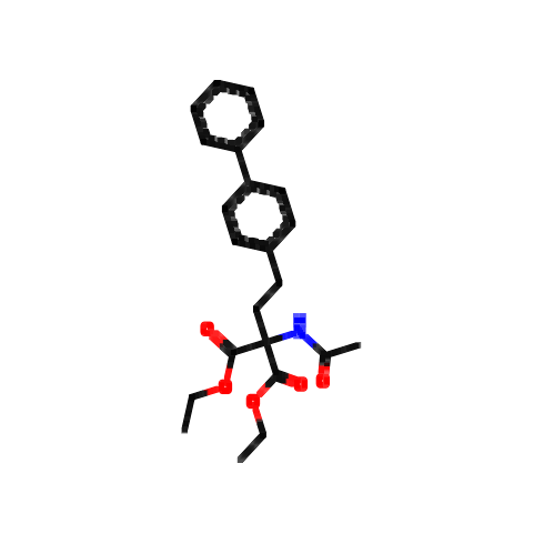 CCOC(=O)C(CCc1ccc(-c2ccccc2)cc1)(NC(C)=O)C(=O)OCC